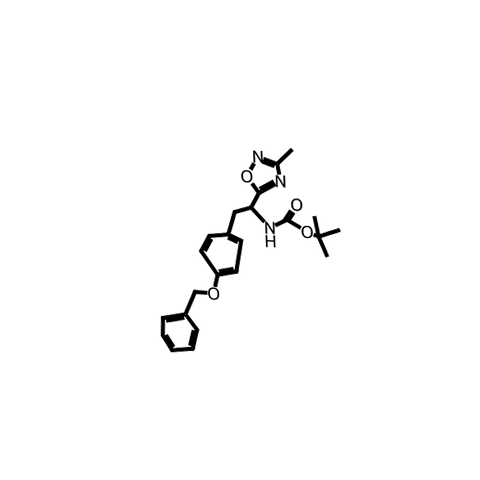 Cc1noc(C(Cc2ccc(OCc3ccccc3)cc2)NC(=O)OC(C)(C)C)n1